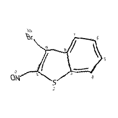 O=Nc1sc2ccccc2c1Br